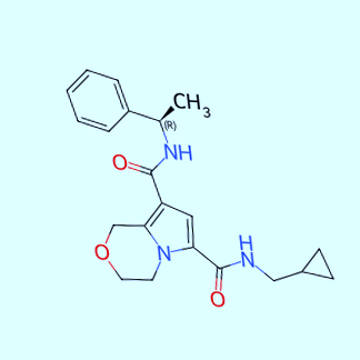 C[C@@H](NC(=O)c1cc(C(=O)NCC2CC2)n2c1COCC2)c1ccccc1